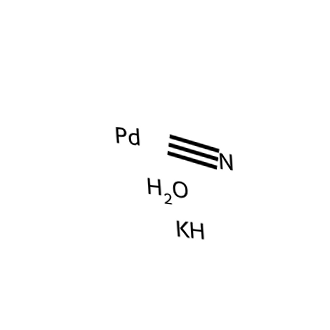 C#N.O.[KH].[Pd]